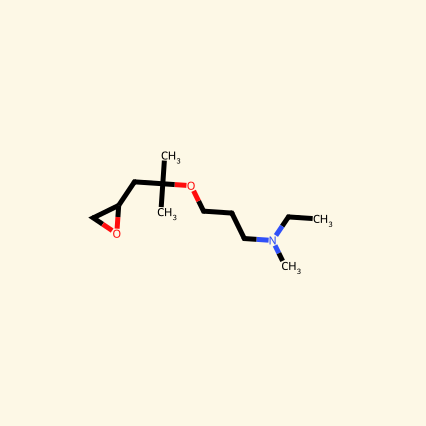 CCN(C)CCCOC(C)(C)CC1CO1